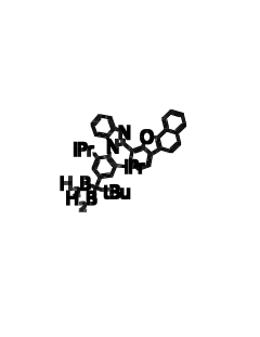 BC(B)(c1cc(C(C)C)c(-n2c(-c3cccc4c3oc3c5ccccc5ccc43)nc3ccccc32)c(C(C)C)c1)C(C)(C)C